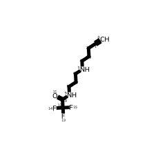 C#CCCCNCCCNC(=O)C(F)(F)F